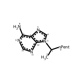 CCCCCC(C)n1cnc2c(N)ncnc21